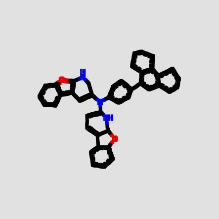 C1=C2c3ccccc3OC2NC(N(C2=Cc3c(oc4ccccc34)NC2)c2ccc(-c3cc4ccccc4c4ccccc34)cc2)=C1